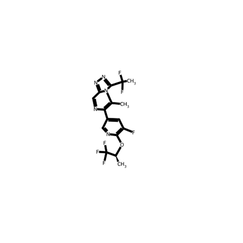 Cc1c(-c2cnc(O[C@@H](C)C(F)(F)F)c(F)c2)ncc2nnc(C(C)(F)F)n12